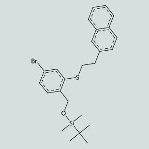 CC(C)(C)[Si](C)(C)OCc1ccc(Br)cc1SCCc1ccc2ccccc2c1